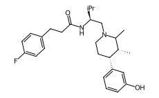 CC(C)[C@@H](CN1CC[C@@H](c2cccc(O)c2)[C@@H](C)C1C)NC(=O)CCc1ccc(F)cc1